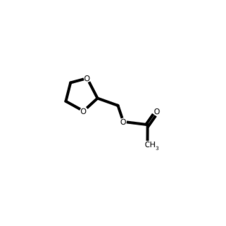 CC(=O)OCC1OCCO1